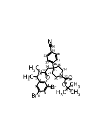 CC(c1cc(Br)cc(Br)c1)N(C)C(=O)CC1(c2ccc(C#N)cc2)CCN(C(=O)OC(C)(C)C)CC1